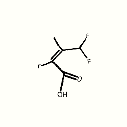 CC(=C(F)C(=O)O)C(F)F